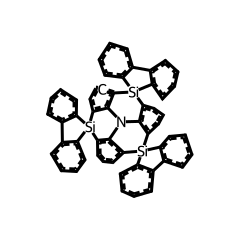 c1ccc2c(c1)-c1ccccc1[Si]21c2cccc3c2N2c4c1cccc4[Si]1(c4ccccc4-c4ccccc41)c1cccc(c12)[Si]31c2ccccc2-c2ccccc21